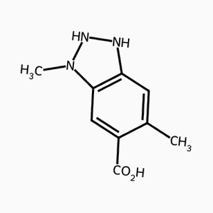 Cc1cc2c(cc1C(=O)O)N(C)NN2